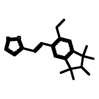 CCc1cc2c(cc1C=Cc1ccno1)C(C)(C)C(C)C2(C)C